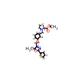 COC(=O)C1SCCN1Cc1cccc(OCc2nc(-c3cccs3)oc2C)c1